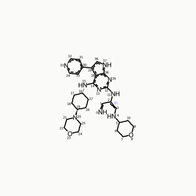 N=C/C(=C\NC1CCOCC1)Nc1nc(N[C@H]2CC[C@H](N3CCOCC3)CC2)c2c(-c3ccncc3)c[nH]c2n1